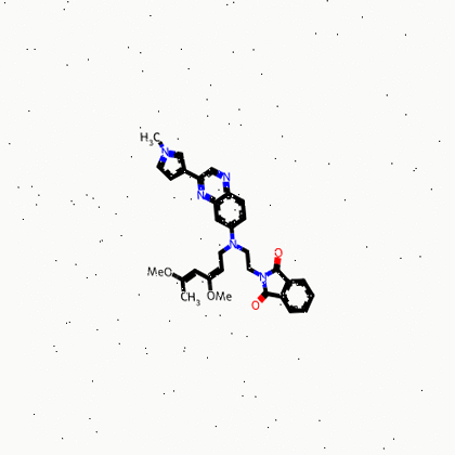 CO/C(C)=C/C(=C\CN(CCN1C(=O)c2ccccc2C1=O)c1ccc2ncc(-c3ccn(C)c3)nc2c1)OC